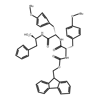 CC(C)(C)Oc1ccc(C[C@H](NC(=O)OCC2c3ccccc3-c3ccccc32)C(=O)N[C@@H](Cc2ccc(OC(C)(C)C)cc2)C(=O)N[C@@H](Cc2ccccc2)C(=O)O)cc1